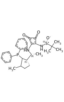 CC1CC[C@@H]([C@@H](C)Nc2c(N[S@+]([O-])C(C)(C)C)c(=O)c2=O)C1P(c1ccccc1)c1ccccc1